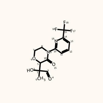 CC(O)(C=O)C1OCCN(c2cccc(C(F)(F)F)n2)C1=O